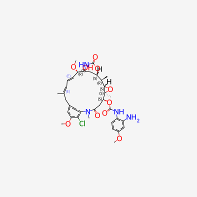 COc1ccc(NC(=O)O[C@H]2CC(=O)N(C)c3cc(cc(OC)c3Cl)C/C(C)=C/C=C/[C@@H](OC)[C@@]3(O)C[C@H](OC(=O)N3)[C@@H](C)[C@@H]3O[C@@]23C)c(N)c1